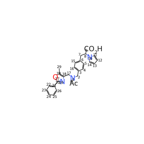 CC(=O)N(Cc1ccc(CC(C(=O)O)n2cccc2)cc1)Cc1nc(-c2ccccc2)oc1C